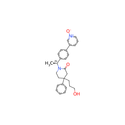 C[C@@H](c1ccc(-c2ccc[n+]([O-])c2)cc1)N1CCC(CCCO)(c2ccccc2)CC1=O